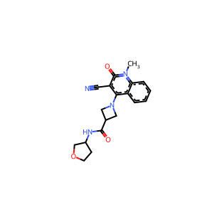 Cn1c(=O)c(C#N)c(N2CC(C(=O)NC3CCOC3)C2)c2ccccc21